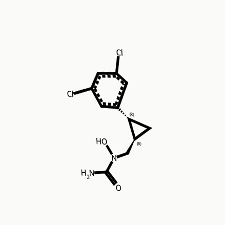 NC(=O)N(O)C[C@@H]1C[C@H]1c1cc(Cl)cc(Cl)c1